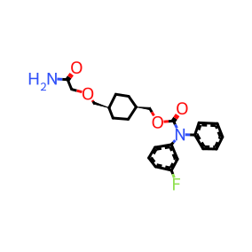 NC(=O)COC[C@H]1CC[C@@H](COC(=O)N(c2ccccc2)c2cccc(F)c2)CC1